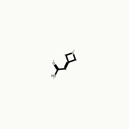 O=C(O)C=C1CSC1